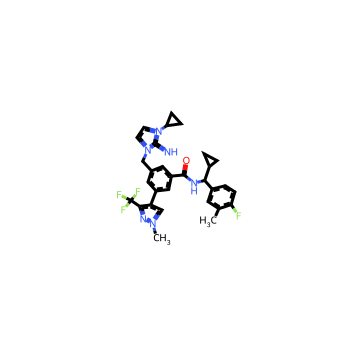 Cc1cc(C(NC(=O)c2cc(Cn3ccn(C4CC4)c3=N)cc(-c3cn(C)nc3C(F)(F)F)c2)C2CC2)ccc1F